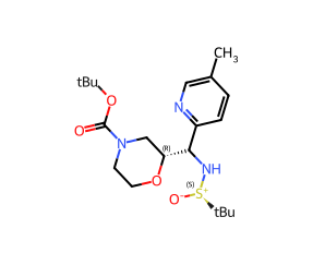 Cc1ccc(C(N[S@+]([O-])C(C)(C)C)[C@H]2CN(C(=O)OC(C)(C)C)CCO2)nc1